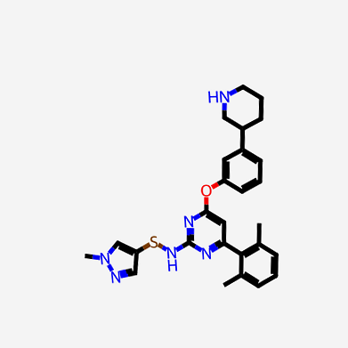 Cc1cccc(C)c1-c1cc(Oc2cccc(C3CCCNC3)c2)nc(NSc2cnn(C)c2)n1